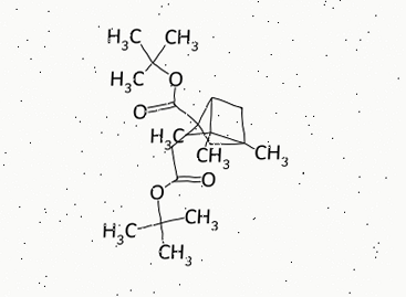 CC(C)(C)OC(=O)CC1(C(=O)OC(C)(C)C)CC2(C)CC1C2(C)C